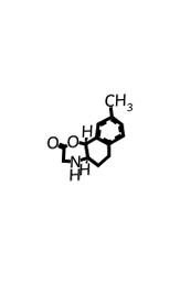 Cc1ccc2c(c1)[C@H]1OC(=O)CN[C@@H]1CC2